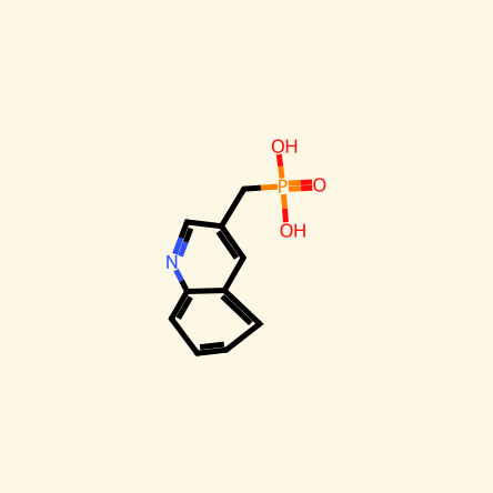 O=P(O)(O)Cc1cnc2ccccc2c1